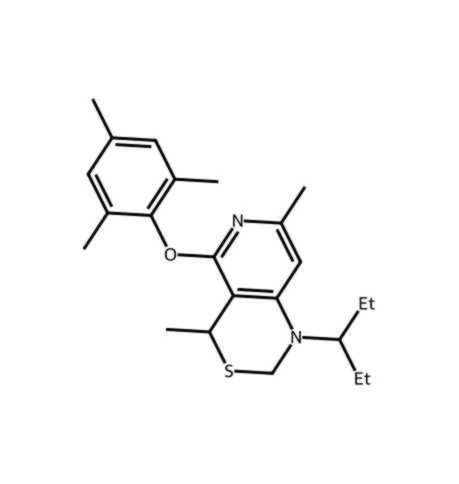 CCC(CC)N1CSC(C)c2c1cc(C)nc2Oc1c(C)cc(C)cc1C